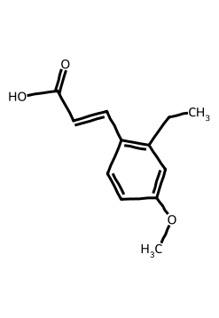 CCc1cc(OC)ccc1C=CC(=O)O